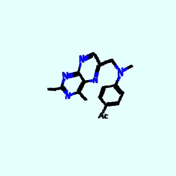 CC(=O)c1ccc(N(C)Cc2cnc3nc(C)nc(C)c3n2)cc1